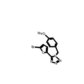 COc1ccc(Cn2nnnc2-c2ccc(Br)o2)cc1